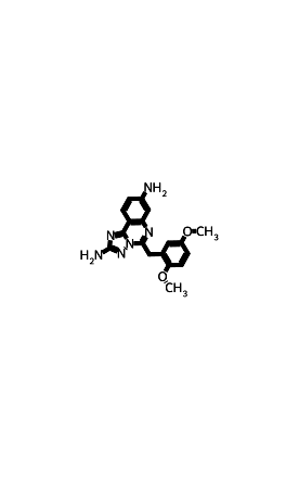 COc1ccc(OC)c(Cc2nc3cc(N)ccc3c3nc(N)nn23)c1